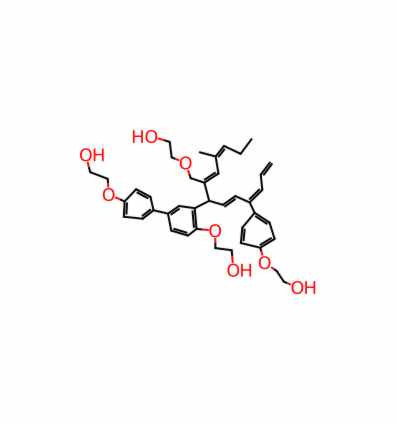 C=C/C=C(\C=C\C(/C(=C/C(C)=C\CC)COCCO)c1cc(-c2ccc(OCCO)cc2)ccc1OCCO)c1ccc(OCCO)cc1